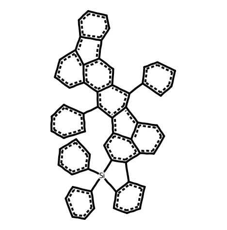 c1ccc(-c2c3cc4c5ccccc5c5cccc(c3c(-c3ccccc3)c3c6cc7c(c8cccc(c23)c86)-c2ccccc2[Si]7(c2ccccc2)c2ccccc2)c54)cc1